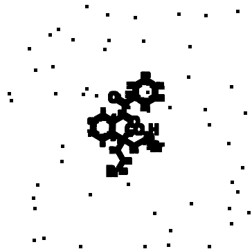 O=C(C(=O)c1ccccc1C(CCBr)(CCBr)C(=O)O)c1ccccc1